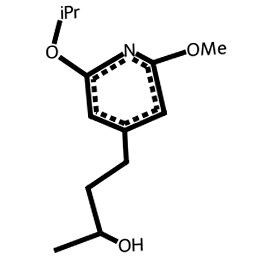 COc1cc(CCC(C)O)cc(OC(C)C)n1